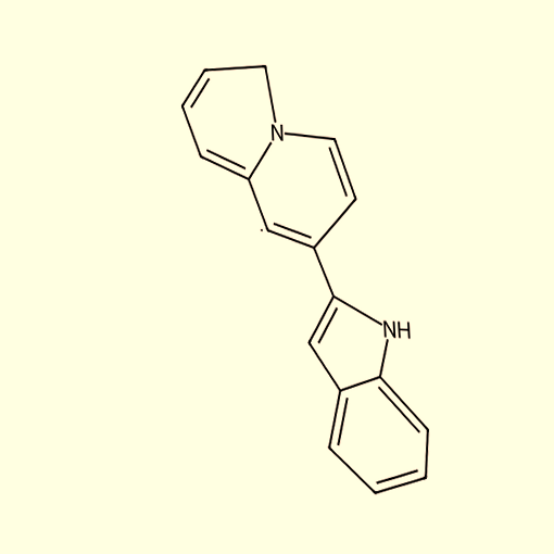 [C]1=C(c2cc3ccccc3[nH]2)C=CN2CC=CC=C12